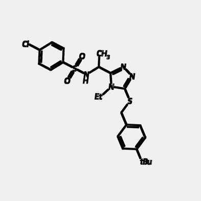 CCn1c(SCc2ccc(C(C)(C)C)cc2)nnc1C(C)NS(=O)(=O)c1ccc(Cl)cc1